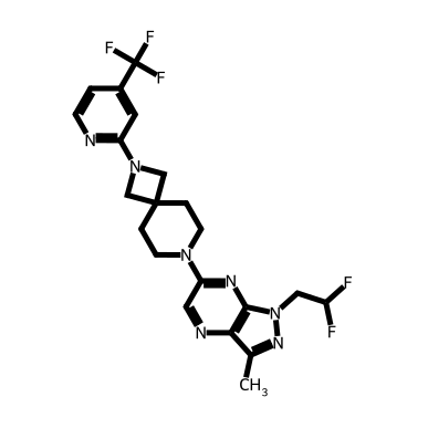 Cc1nn(CC(F)F)c2nc(N3CCC4(CC3)CN(c3cc(C(F)(F)F)ccn3)C4)cnc12